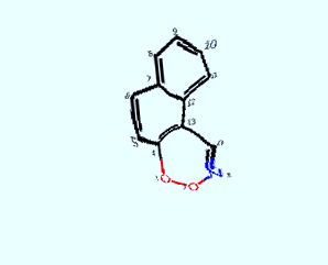 C1=NOOc2ccc3ccccc3c21